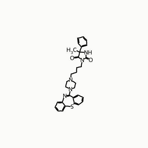 CC1(c2ccccc2)NC(=O)N(CCCCN2CCN(C3=Nc4ccccc4Sc4ccccc43)CC2)C1=O